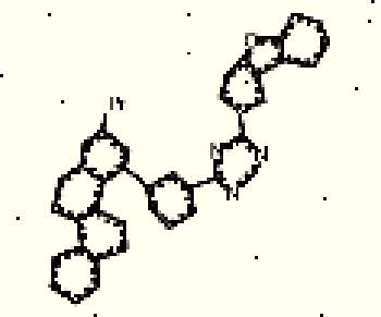 CC(C)c1cc(-c2cccc(-c3ncnc(-c4ccc5oc6ccccc6c5c4)n3)c2)c2c(ccc3c4ccccc4ccc32)c1